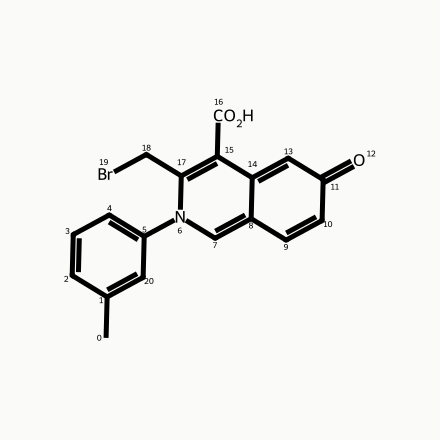 Cc1cccc(-n2cc3ccc(=O)cc-3c(C(=O)O)c2CBr)c1